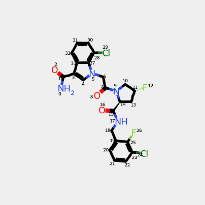 NC(=O)c1cn(CC(=O)N2C[C@H](F)C[C@H]2C(=O)NCc2cccc(Cl)c2F)c2c(Cl)cccc12